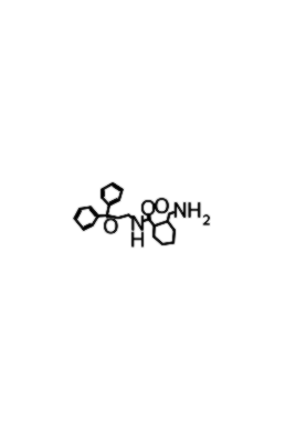 NC(=O)C1CCCCC1C(=O)NCC1OC1(c1ccccc1)c1ccccc1